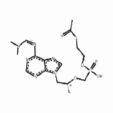 CC(=O)SCCOP(=O)(O)CO[C@H](C)Cn1cnc2c(/N=C\N(C)C)ncnc21